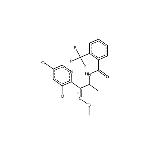 CO/N=C(/c1ncc(Cl)cc1Cl)C(C)NC(=O)c1ccccc1C(F)(F)F